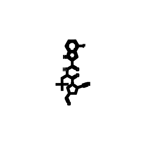 CC(C)(C)CC(NC(=O)c1cc2c(F)cccc2[nH]1)C(=O)N1CC(C=O)CC1C#N